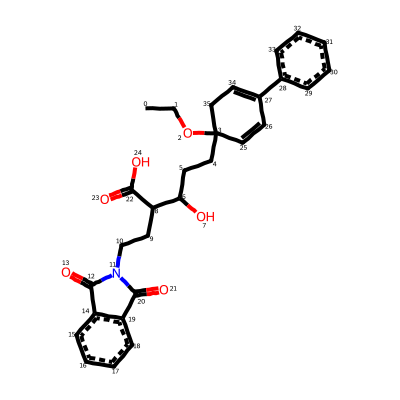 CCOC1(CCC(O)C(CCN2C(=O)c3ccccc3C2=O)C(=O)O)C=CC(c2ccccc2)=CC1